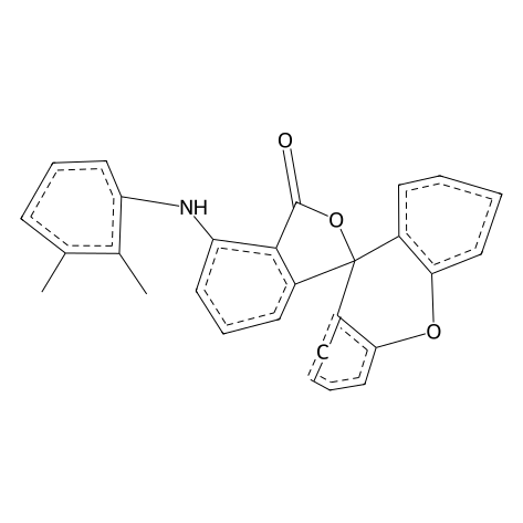 Cc1cccc(Nc2cccc3c2C(=O)OC32c3ccccc3Oc3ccccc32)c1C